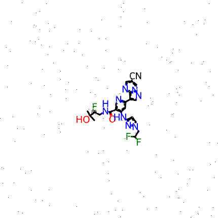 CC(C)(O)[C@H](F)CNC(=O)c1cnc(-c2cnn3cc(C#N)cnc23)cc1Nc1ccn(CC(F)F)n1